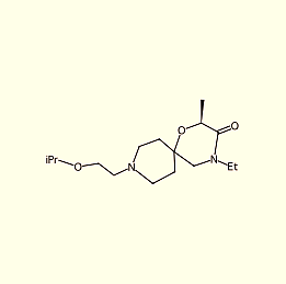 CCN1CC2(CCN(CCOC(C)C)CC2)O[C@@H](C)C1=O